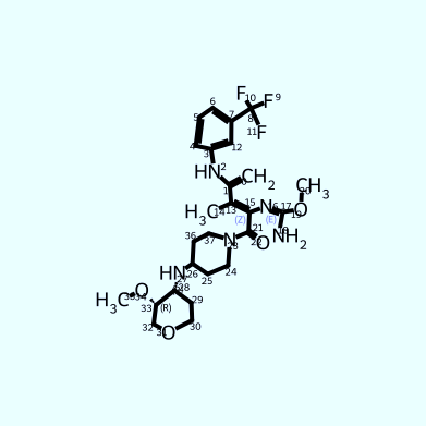 C=C(Nc1cccc(C(F)(F)F)c1)/C(C)=C(\N=C(/N)OC)C(=O)N1CCC(N[C@@H]2CCOC[C@@H]2OC)CC1